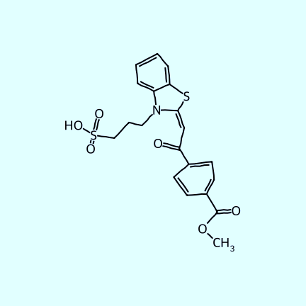 COC(=O)c1ccc(C(=O)/C=C2/Sc3ccccc3N2CCCS(=O)(=O)O)cc1